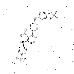 CS(=O)(=O)c1ccc(Nc2ncnc(N3CCC(Oc4ccc(OC(F)(F)F)cc4)CC3)c2[N+](=O)[O-])cc1